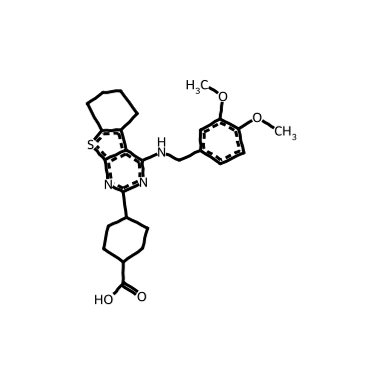 COc1ccc(CNc2nc(C3CCC(C(=O)O)CC3)nc3sc4c(c23)CCCC4)cc1OC